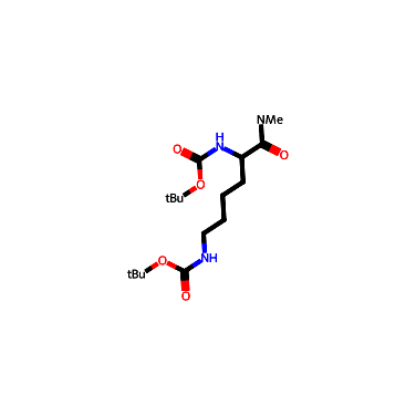 CNC(=O)C(CCCCNC(=O)OC(C)(C)C)NC(=O)OC(C)(C)C